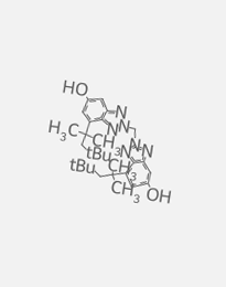 CC(C)(C)CC(C)(C)c1cc(O)cc2nn(Cn3nc4cc(O)cc(C(C)(C)CC(C)(C)C)c4n3)nc12